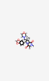 CN1C(=O)C23C[C@@](C#N)(CN4CCOCC4)[C@H](c4ccc5c(c4)OCO5)N2C(=O)C1(C)S3